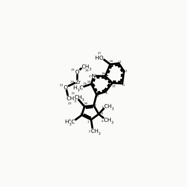 CC1=C(C)C(C)(C)C(c2cc3cccc(O)c3nc2C)=C1C.C[O][Zr][O]C